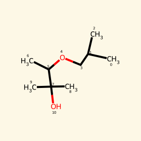 CC(C)COC(C)C(C)(C)O